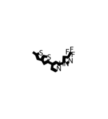 Cc1cc2cc(-c3ccnc(-c4cc(C(F)(F)F)n[nH]4)c3)sc2s1